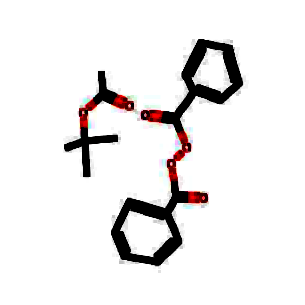 CC(=O)OC(C)(C)C.O=C(OOC(=O)c1ccccc1)c1ccccc1